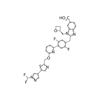 O=C(O)c1ccc2nc(Cc3cc(F)c(-c4cccc(OCc5ncc(-c6cnn(C(F)F)c6)s5)n4)cc3F)n(C[C@@H]3CCO3)c2c1